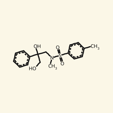 Cc1ccc(S(=O)(=O)N(C)CC(O)(CO)c2ccccc2)cc1